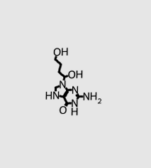 Nc1nc2c(c(=O)[nH]1)NCN2C(O)CCCO